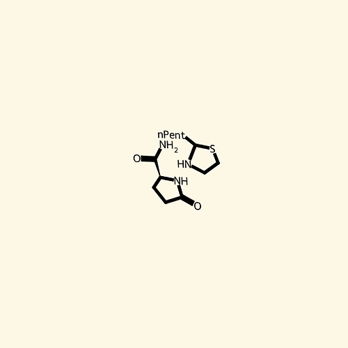 CCCCCC1NCCS1.NC(=O)[C@@H]1CCC(=O)N1